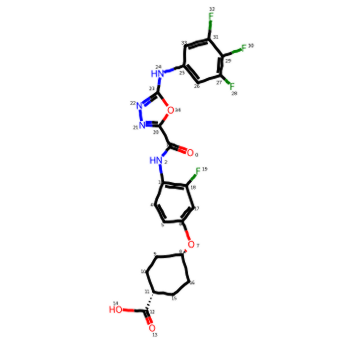 O=C(Nc1ccc(O[C@H]2CC[C@@H](C(=O)O)CC2)cc1F)c1nnc(Nc2cc(F)c(F)c(F)c2)o1